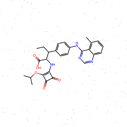 CCC(c1ccc(Nc2ncnc3cccc(C)c23)cc1)C(Nc1c(OC(C)C)c(=O)c1=O)C(=O)O